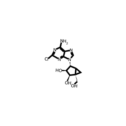 Nc1nc(Cl)nc2c1ncn2[C@@H]1C2C[C@@]2(CO)[C@@H](O)[C@H]1O